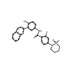 O=C(Nc1ccc(Cl)c(-c2ccc3ccccc3n2)c1)c1ccc(N2CCCCS2(=O)=O)cc1F